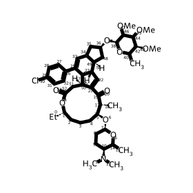 CC[C@H]1CCC[C@H](O[C@H]2CC[C@H](N(C)C)C(C)O2)[C@@H](C)C(=O)C2=C[C@@H]3C(C(c4ccc(Cl)cc4)=CC4C[C@@H](O[C@@H]5OC(C)[C@H](OC)C(OC)C5OC)C[C@H]43)[C@@H]2CC(=O)O1